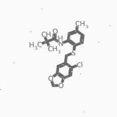 Cc1ccc(SCc2cc3c(cc2Cl)OCO3)c(NC(=O)C(C)(C)C)c1